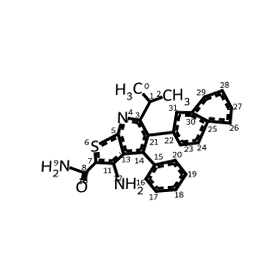 CC(C)c1nc2sc(C(N)=O)c(N)c2c(-c2ccccc2)c1-c1ccc2ccccc2c1